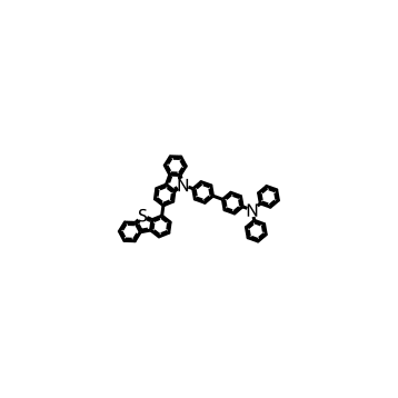 c1ccc(N(c2ccccc2)c2ccc(-c3ccc(-n4c5ccccc5c5ccc(-c6cccc7c6sc6ccccc67)cc54)cc3)cc2)cc1